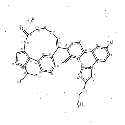 CCOc1cn(-c2ccc(Cl)cc2-c2ccc(/C3=C/CC[C@@H](C)C(=O)Nc4cnn(C(F)F)c4-c4ccnc3c4)c(=O)o2)nn1